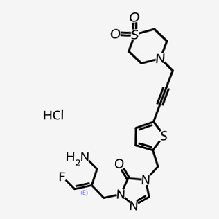 Cl.NC/C(=C\F)Cn1ncn(Cc2ccc(C#CCN3CCS(=O)(=O)CC3)s2)c1=O